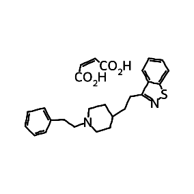 O=C(O)/C=C\C(=O)O.c1ccc(CCN2CCC(CCc3nsc4ccccc34)CC2)cc1